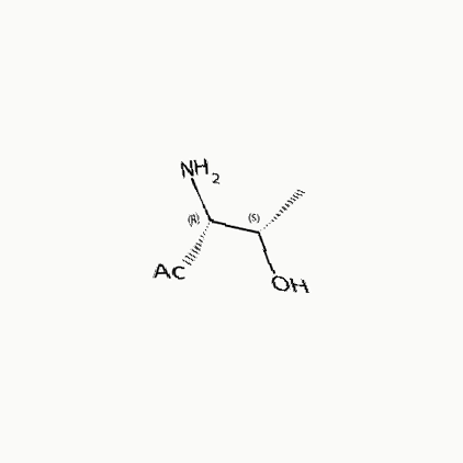 CC(=O)[C@H](N)[C@H](C)O